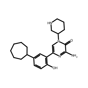 Nc1nc(-c2cc(C3CCCCCC3)ccc2O)cn(C2CCCNC2)c1=O